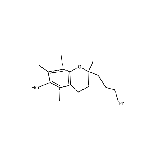 Cc1c(C)c2c(c(C)c1O)CCC(C)(CCCC(C)C)O2